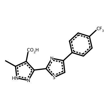 Cc1[nH]nc(-c2nc(-c3ccc(C(F)(F)F)cc3)cs2)c1C(=O)O